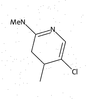 CNC1=NC=C(Cl)C(C)C1